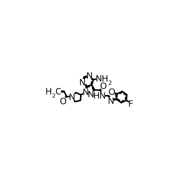 C=CC(=O)N1CCC(n2nc(C(=O)Nc3nc4cc(F)ccc4o3)c3c(N)ncnc32)C1